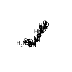 COC(=O)N[C@H](C(=O)N1CCCC1c1ncc(-c2ccc(-c3ncc(-c4cnc([C@@H]5CCCN5C(=O)[C@@H](OC(N)=O)C(C)C)[nH]4)cn3)cc2)[nH]1)C(C)C